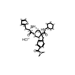 CN(C)C(=O)c1ccc(CC2(C(=O)NC3CCCCC3)CCN(C(=O)[C@@H](N)Cc3cccs3)CC2)cc1.Cl